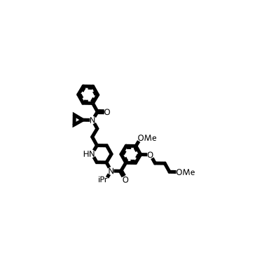 COCCCOc1cc(C(=O)N(C(C)C)C2CCC(CCN(C(=O)c3ccccc3)C3CC3)NC2)ccc1OC